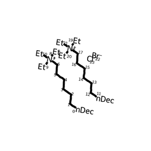 CCCCCCCCCCCCCCCC[N+](CC)(CC)CC.CCCCCCCCCCCCCCCC[N+](CC)(CC)CC.[Br-].[Cl-]